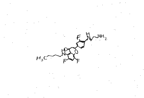 CCCCCNc1c(F)cc(F)c2oc(-c3ccc(NCCCN)c(F)c3)cc(=O)c12